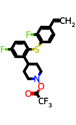 C=Cc1ccc(Sc2ccc(F)cc2C2CCN(OC(=O)C(F)(F)F)CC2)c(F)c1